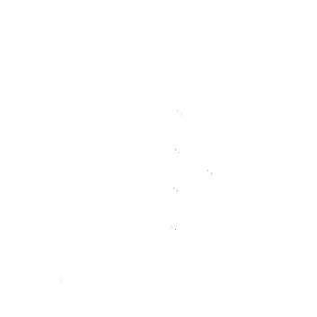 Cc1cc(NCCOCCO)nc(NC(=O)Nc2ccc(F)c(C(F)(F)F)c2)n1